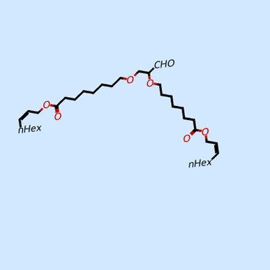 CCCCCC/C=C\COC(=O)CCCCCCCOCC(C=O)OCCCCCCCC(=O)OC/C=C\CCCCCC